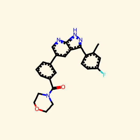 Cc1cc(F)ccc1-c1n[nH]c2ncc(-c3cccc(C(=O)N4CCOCC4)c3)cc12